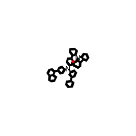 c1ccc(-c2cccc(N(c3ccc(-c4ccccc4-n4c5ccccc5c5ccccc54)cc3)c3ccc(-c4cccc5ccccc45)cc3)c2)cc1